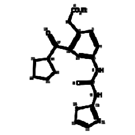 CCOC(=O)Cc1ccc(NC(=O)Nc2nccs2)cc1C(=O)C1CCCC1